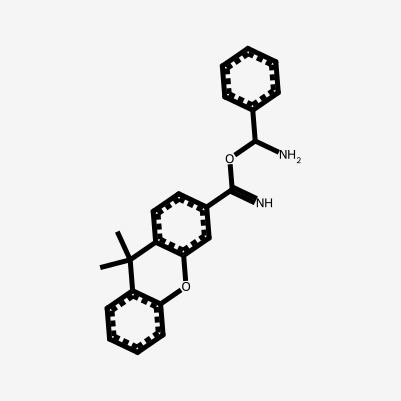 CC1(C)c2ccccc2Oc2cc(C(=N)OC(N)c3ccccc3)ccc21